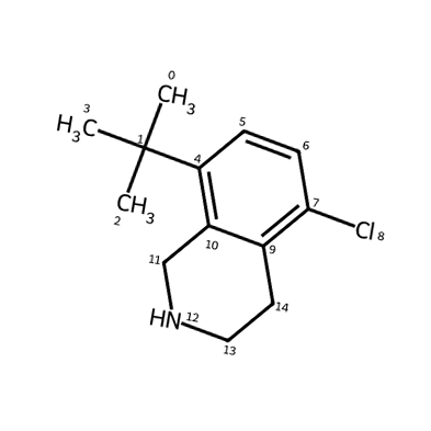 CC(C)(C)c1ccc(Cl)c2c1CNCC2